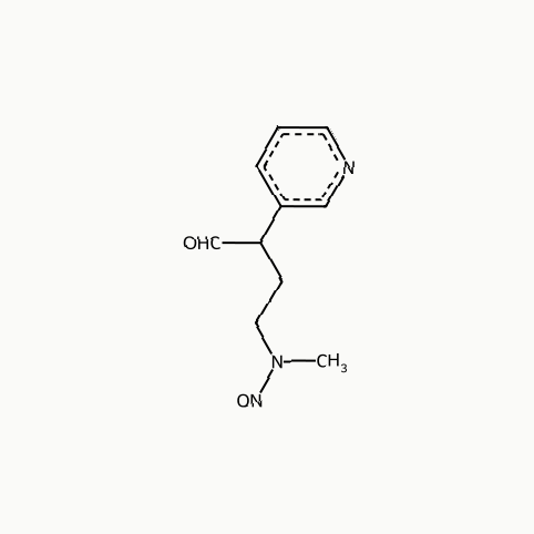 CN(CCC(C=O)c1cccnc1)N=O